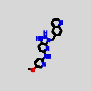 COc1ccc(Nc2ccc3c(n2)N(Cc2ccc4ncccc4c2)NN3)nc1